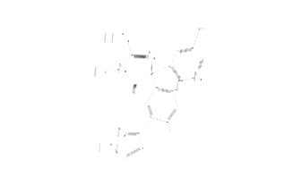 CN1C(=O)C(c2cncc(C(F)F)c2)(c2cc(-c3cc[nH]n3)c(F)cc2F)N=C1N